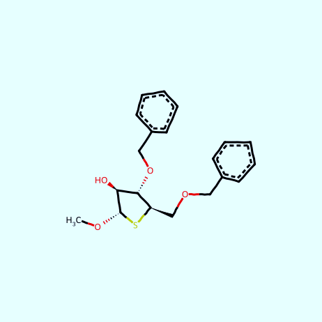 CO[C@H]1S[C@H](COCc2ccccc2)[C@@H](OCc2ccccc2)[C@@H]1O